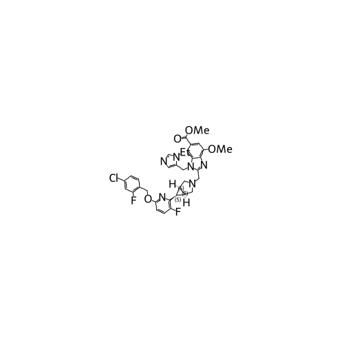 CCn1cncc1Cn1c(CN2C[C@@H]3[C@H](C2)[C@@H]3c2nc(OCc3ccc(Cl)cc3F)ccc2F)nc2c(OC)cc(C(=O)OC)cc21